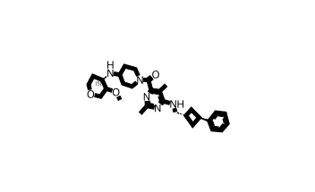 COC1COCC[C@@H]1NC1CCN(C(=O)c2nc(C)nc(NC[C@H]3C[C@H](c4ccccc4)C3)c2C)CC1